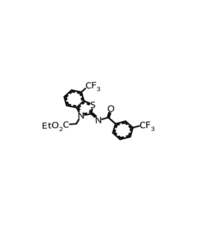 CCOC(=O)Cn1/c(=N/C(=O)c2cccc(C(F)(F)F)c2)sc2c(C(F)(F)F)cccc21